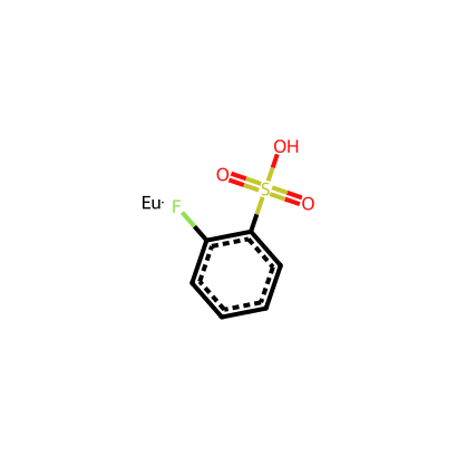 O=S(=O)(O)c1ccccc1F.[Eu]